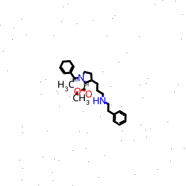 COC(=O)[C@@H]1C(CCCNCCc2ccccc2)CCN1[C@@H](C)C1=CCCC=C1